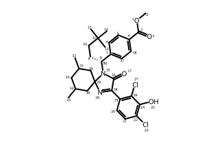 COC(=O)c1ccc([C@@H](CCC(C)(C)C)N2C(=O)C(c3ccc(Cl)c(O)c3Cl)=NC23CC(C)CC(C)C3)cc1